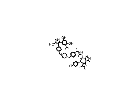 Cc1sc2c(c1C)C(c1ccc(Cl)cc1)=N[C@@H](CC(=O)N[C@H](C)c1ccc(CC3CCN(Cc4ccc(-n5c(O)nnc5-c5cc(C(C)C)c(O)cc5O)cc4)CC3)cc1)c1nnc(C)n1-2